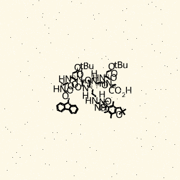 Cc1c(C)c(S(=O)(=O)NC(=N)NCCC[C@H](NC(=O)[C@H](C)NC(=O)[C@H](CC(=O)OC(C)(C)C)NC(=O)[C@H](C)NC(=O)OCC2c3ccccc3-c3ccccc32)C(=O)N[C@@H](C)C(=O)N[C@@H](CC(=O)OC(C)(C)C)C(=O)N[C@@H](C)C(=O)O)c(C)c2c1OC(C)(C)C2